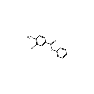 Cc1ccc(C(=O)Oc2ccccc2)cc1Cl